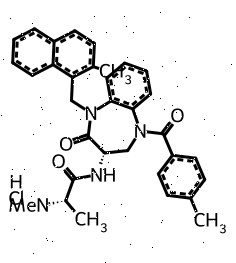 CN[C@@H](C)C(=O)N[C@H]1CN(C(=O)c2ccc(C)cc2)c2ccccc2N(Cc2c(C)ccc3ccccc23)C1=O.Cl